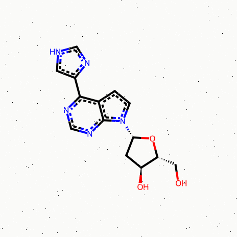 OC[C@H]1O[C@@H](n2ccc3c(-c4c[nH]cn4)ncnc32)C[C@@H]1O